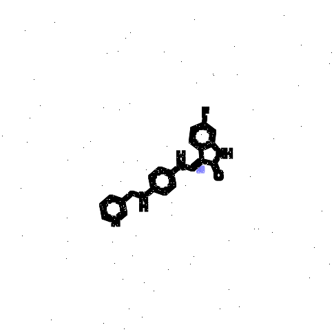 O=C1Nc2cc(F)ccc2/C1=C\Nc1ccc(NCc2cccnc2)cc1